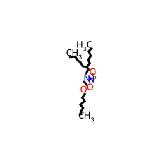 CCCCCCCOC(=O)CN(CC(=O)C(CCCCCC)CCCCCC)N=S